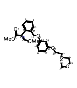 CO/C=C(/C(=O)OC)c1ccccc1COc1cccc(OCCN2CCOCC2)c1